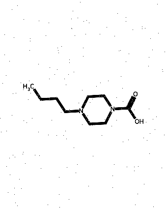 CCCCN1CCN(C(=O)O)CC1